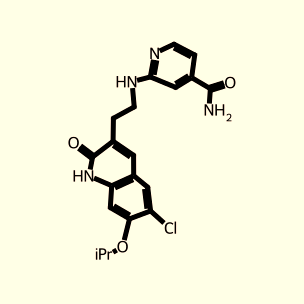 CC(C)Oc1cc2[nH]c(=O)c(CCNc3cc(C(N)=O)ccn3)cc2cc1Cl